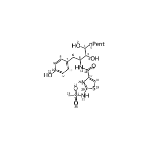 CCCCCC(O)C(O)C(Cc1ccc(O)cc1)NC(=O)c1csc(NS(C)(=O)=O)n1